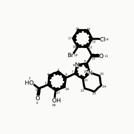 O=C(O)c1ccc(-c2nc(C(=O)c3c(Cl)cccc3Br)n3c2CCCC3)cc1O